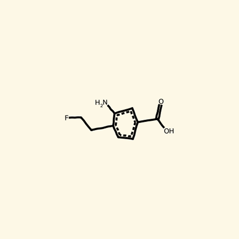 Nc1cc(C(=O)O)ccc1CCF